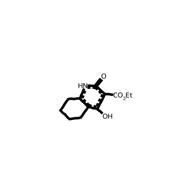 CCOC(=O)c1c(O)c2c([nH]c1=O)CCCC2